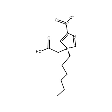 CCCCCC[N@+]1(CC(=O)O)C=NC([N+](=O)[O-])=C1